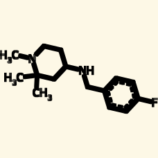 CN1CCC(NCc2ccc(F)cc2)CC1(C)C